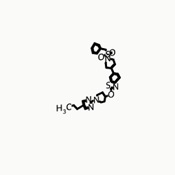 CCCc1cnc(N2CCC(Oc3nc4ccc(C5=CCN(S(=O)(=O)Cc6ccccc6)CC5)cc4s3)CC2)nc1